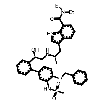 CCN(CC)C(=O)c1cccc2c(C[C@@H](C)NC[C@H](O)c3ccccc3-c3ccc(OCc4ccccc4)c(NS(C)(=O)=O)c3)c[nH]c12